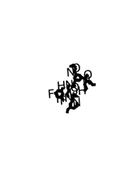 CCCN(CCC)C(=O)c1cc(C(=O)N[C@@H](Cc2cc(F)cc(F)c2)[C@H](O)CNC2(c3cc(CC)ccn3)CC2)cc(-c2ncco2)c1